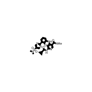 CNC(=O)c1cnc(NC(=O)C2CC2)cc1Nc1cccc(-c2ncc(S(=O)(=O)N(C)C)cn2)c1OC